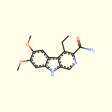 CCc1c(C(N)=O)ncc2[nH]c3cc(OC)c(OC)cc3c12